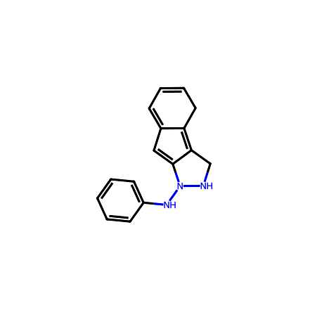 C1=CCC2=C3CNN(Nc4ccccc4)C3=CC2=C1